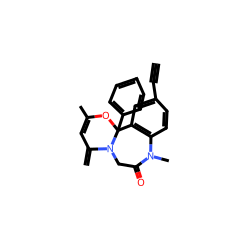 C#Cc1ccc2c(c1)C1(c3ccccc3)OC(C)=CC(=C)N1CC(=O)N2C